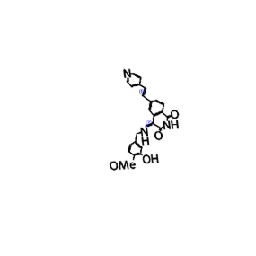 COc1ccc(CN/C=C2\C(=O)NC(=O)c3ccc(/C=C/c4ccncc4)cc32)cc1O